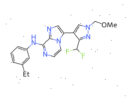 CCc1[c]ccc(Nc2nccn3c(-c4cn(COC)nc4C(F)F)cnc23)c1